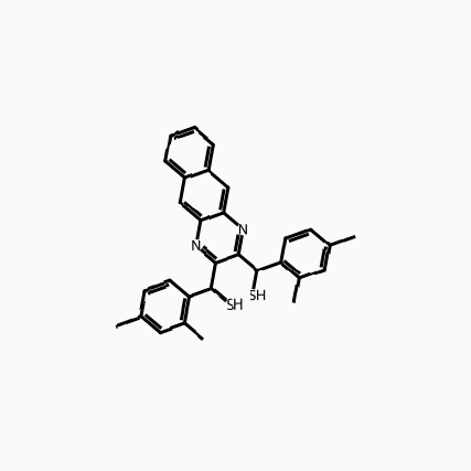 Cc1ccc(C(S)c2nc3cc4ccccc4cc3nc2C(S)c2ccc(C)cc2C)c(C)c1